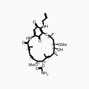 C=CCNC1=C2C[C@@H](C)C[C@@H](OC)[C@@H](O)[C@@H](C)/C=C(\C)[C@H](OC(N)=O)[C@@H](OC)/C=C\C=C(/C)C(=O)NC(=CC1=O)C2=O